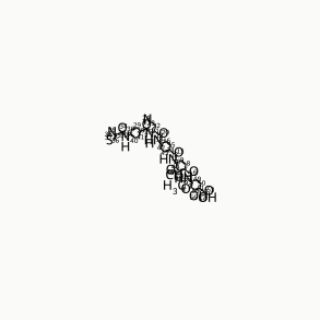 COc1c(NC(=O)c2ccc(NC(=O)c3ccc(NC(=O)[C@H](CC#N)NC(=O)c4ccc(NC(=O)c5cscn5)cc4)cc3)c(OC)c2O)ccc(C(=O)O)c1O